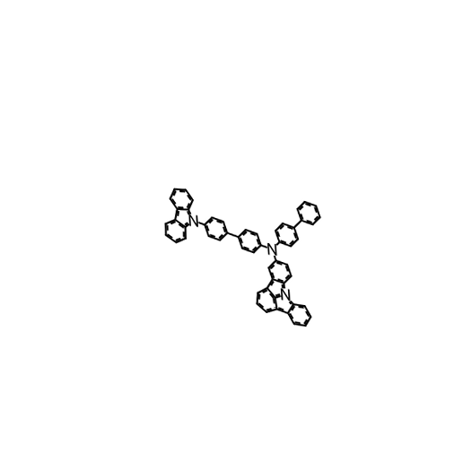 c1ccc(-c2ccc(N(c3ccc(-c4ccc(-n5c6ccccc6c6ccccc65)cc4)cc3)c3ccc4c(c3)c3cccc5c6ccccc6n4c53)cc2)cc1